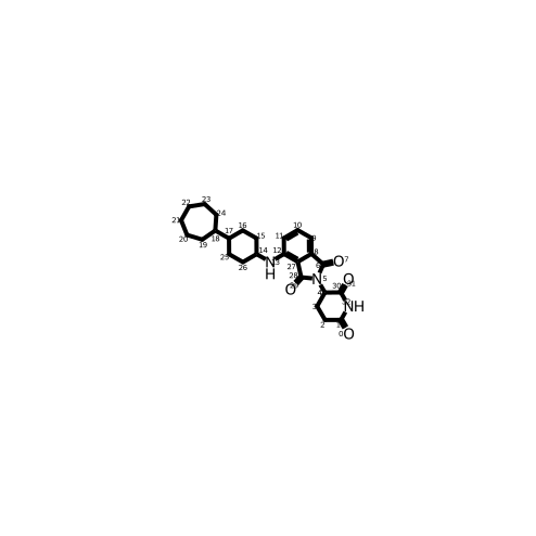 O=C1CCC(N2C(=O)c3cccc(NC4CCC(C5CCCCCC5)CC4)c3C2=O)C(=O)N1